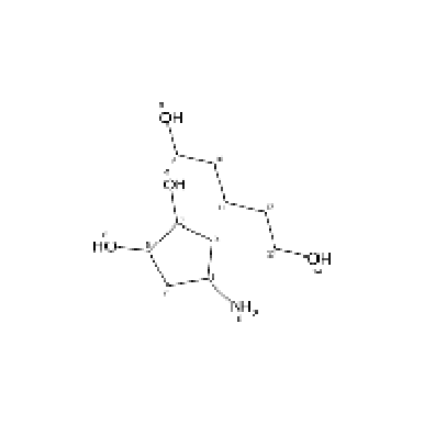 NC1CC(O)C(O)C1.OCCCCCO